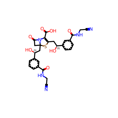 N#CCNC(=O)c1cccc([C@@H](O)CC2=C(C(=O)O)N3C(=O)CC3(C[C@H](O)c3cccc(C(=O)NCC#N)c3)S2)c1